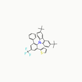 CC(C)(C)c1ccc2c(c1)c1cc(C(C)(C)C)ccc1n2-c1c(-c2ccccc2)cc(C(F)(F)F)cc1-c1cccs1